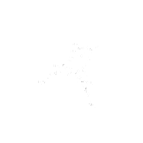 CN(C)CCOCCO[C@H]1CC[C@]2(C)[C@@H](C=NOCCN)CC[C@]2(OC(=O)C(=O)O[C@]23CC[C@H](C=NOCCN)[C@@]2(C)CC[C@H](OCCOCCN(C)C)C3)C1